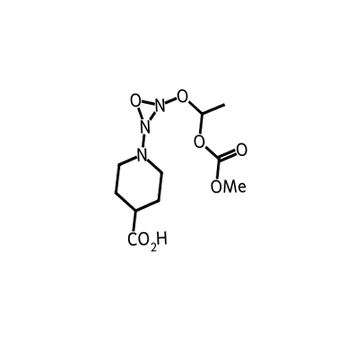 COC(=O)OC(C)On1on1N1CCC(C(=O)O)CC1